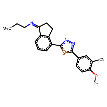 COCC/N=C1/CCc2c1cccc2-c1nnc(-c2ccc(OC(C)C)c(C#N)c2)s1